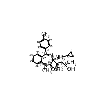 CCCC[C@](C)(O)[C@@H](CC1CC1)C(=O)C1(N)N=C(c2ccc(C(F)(F)F)cc2)c2ccccc2N(C)C1=O